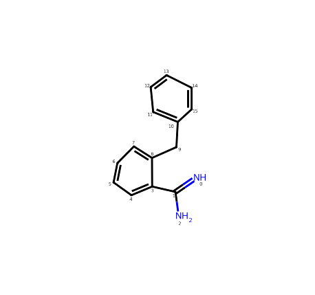 N=C(N)c1ccccc1Cc1ccccc1